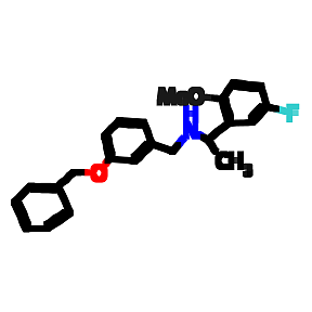 COc1ccc(F)cc1C(C)NCc1cccc(OCc2ccccc2)c1